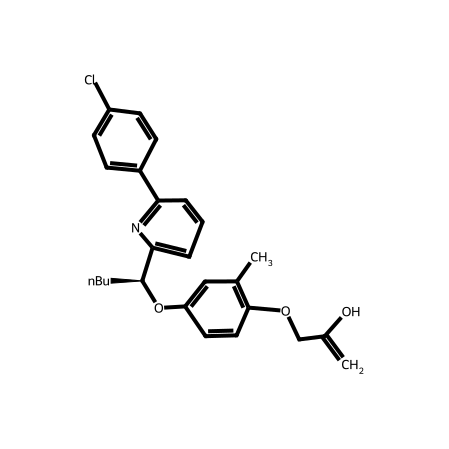 C=C(O)COc1ccc(O[C@@H](CCCC)c2cccc(-c3ccc(Cl)cc3)n2)cc1C